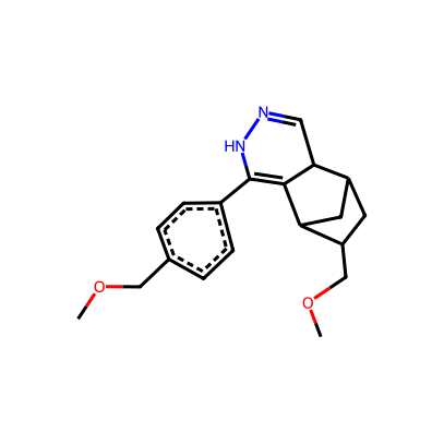 COCc1ccc(C2=C3C(C=NN2)C2CC(COC)C3C2)cc1